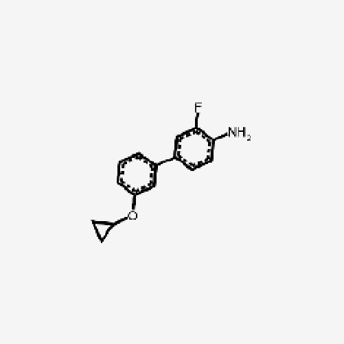 Nc1ccc(-c2cccc(OC3CC3)c2)cc1F